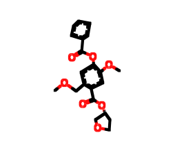 COCc1cc(OC(=O)c2ccccc2)c(OC)cc1C(=O)O[C@@H]1CCOC1